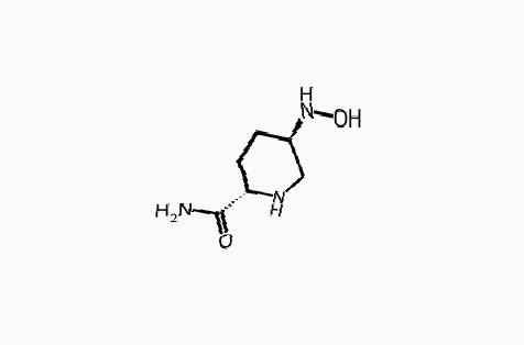 NC(=O)[C@@H]1CC[C@@H](NO)CN1